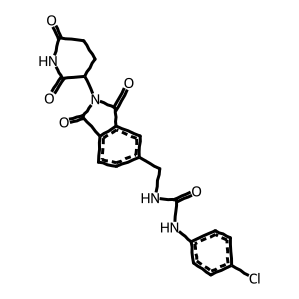 O=C1CCC(N2C(=O)c3ccc(CNC(=O)Nc4ccc(Cl)cc4)cc3C2=O)C(=O)N1